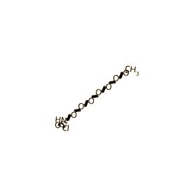 COCCOCCOCCOCCOCCOCCOCCN[S+]([O-])Cl